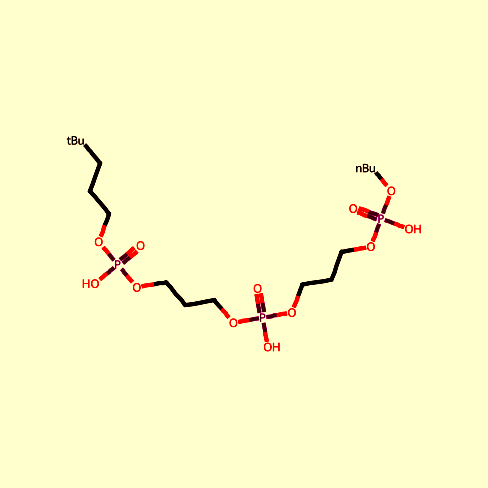 CCCCOP(=O)(O)OCCCOP(=O)(O)OCCCOP(=O)(O)OCCCC(C)(C)C